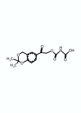 CC1(C)OCc2cc(C(=O)COC(=O)NC(=O)O)ccc2O1